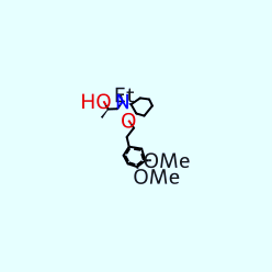 CCN(C[C@@H](C)O)[C@@H]1CCCC[C@H]1OCCc1ccc(OC)c(OC)c1